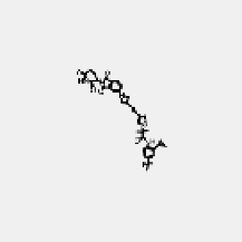 CC(C)(C(=O)Nc1ccc(C(F)(F)F)cc1C1CC1)n1cc(C#CC2CN(c3ccc4c(c3)C(=O)N(C3CCC(=O)NC3=O)C4=O)C2)cn1